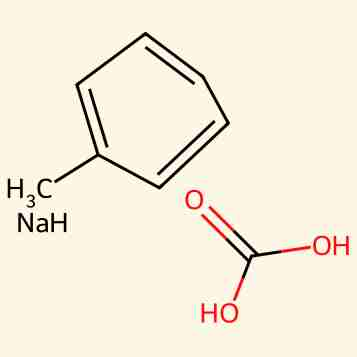 Cc1ccccc1.O=C(O)O.[NaH]